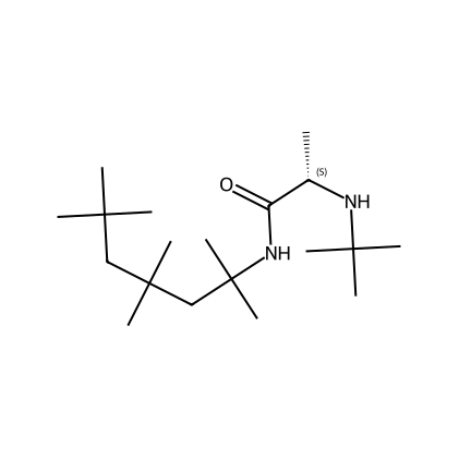 C[C@H](NC(C)(C)C)C(=O)NC(C)(C)CC(C)(C)CC(C)(C)C